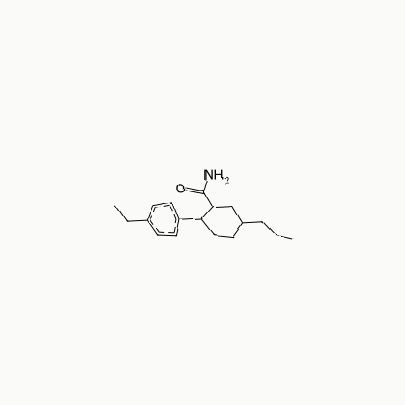 CCCC1CCC(c2ccc(CC)cc2)C(C(N)=O)C1